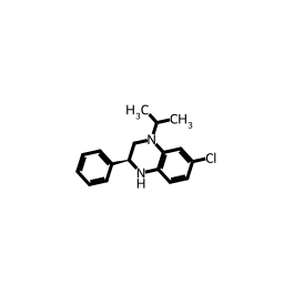 CC(C)N1C[C@H](c2ccccc2)Nc2ccc(Cl)cc21